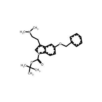 CN(C)CCc1cn(C(=O)OC(C)(C)C)c2ccc(OCc3ccccc3)cc12